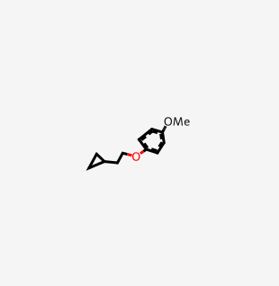 COc1ccc(OCCC2CC2)cc1